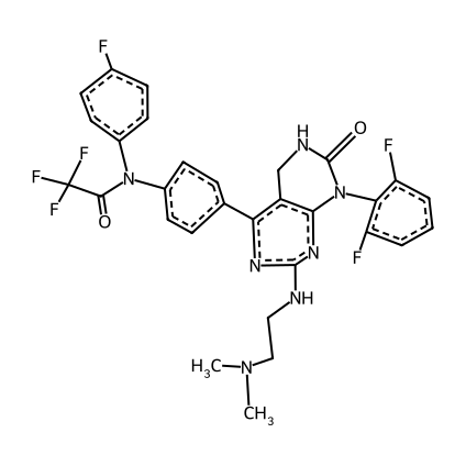 CN(C)CCNc1nc(-c2ccc(N(C(=O)C(F)(F)F)c3ccc(F)cc3)cc2)c2c(n1)N(c1c(F)cccc1F)C(=O)NC2